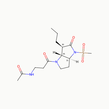 CCC[C@H]1C(=O)N(S(C)(=O)=O)[C@H]2CCN(C(=O)CCNC(C)=O)[C@H]12